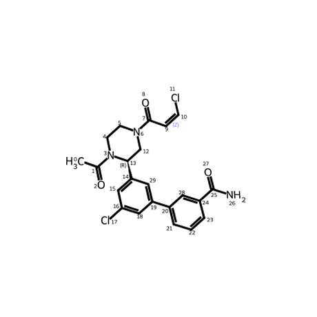 CC(=O)N1CCN(C(=O)/C=C\Cl)C[C@H]1c1cc(Cl)cc(-c2cccc(C(N)=O)c2)c1